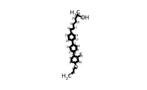 C=CCOc1ccc(-c2ccc(-c3ccc(C=CCCCC(C)O)cc3)cc2)c(F)c1